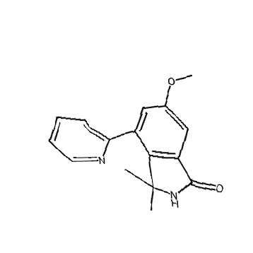 COc1cc2c(c(-c3ccccn3)c1)C(C)(C)NC2=O